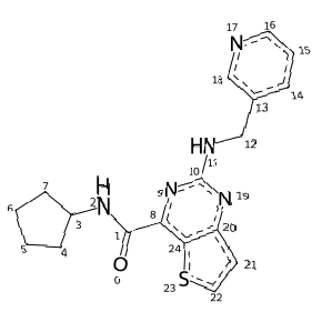 O=C(NC1CCCC1)c1nc(NCc2cccnc2)nc2ccsc12